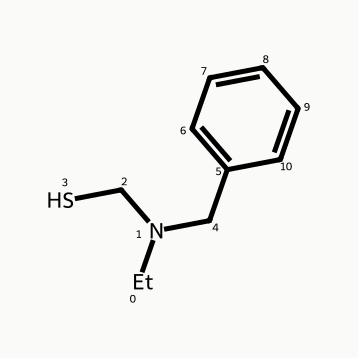 CCN(CS)Cc1ccccc1